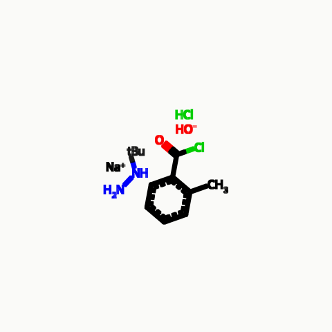 CC(C)(C)NN.Cc1ccccc1C(=O)Cl.Cl.[Na+].[OH-]